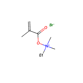 C=C(C)C(=O)O[N+](C)(C)CC.[Br-]